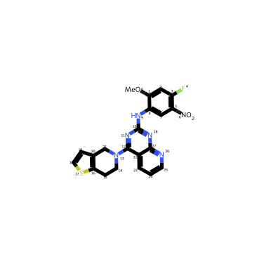 COc1cc(F)c([N+](=O)[O-])cc1Nc1nc(N2CCc3sccc3C2)c2cccnc2n1